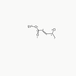 CCOC(=O)C=CC(C)Cl